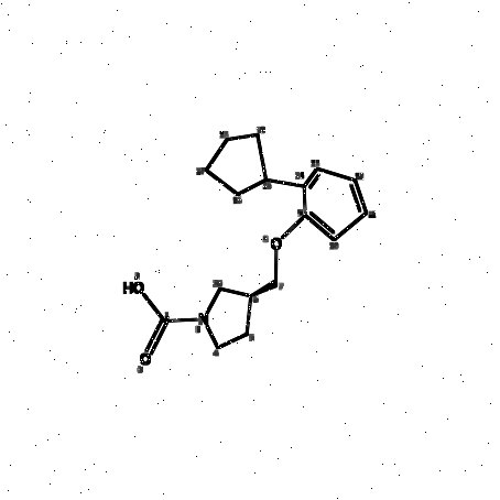 O=C(O)N1CC[C@H](COc2ccccc2C2CCCC2)C1